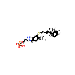 CC(C)(CCCCSc1ccc(CNCCCO[PH](=O)O)cc1C(F)(F)F)c1ccccc1